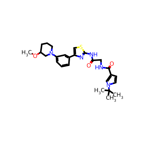 COC1CCCN(c2cccc(-c3csc(NC(=O)CNC(=O)c4ccn(C(C)(C)C)c4)n3)c2)C1